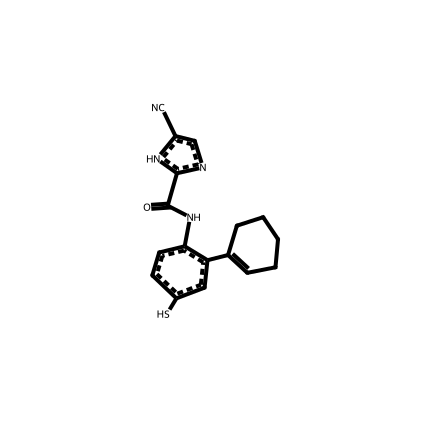 N#Cc1cnc(C(=O)Nc2ccc(S)cc2C2=CCCCC2)[nH]1